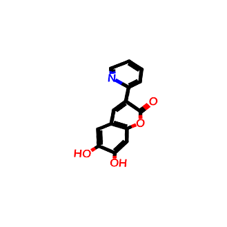 O=c1oc2cc(O)c(O)cc2cc1-c1ccccn1